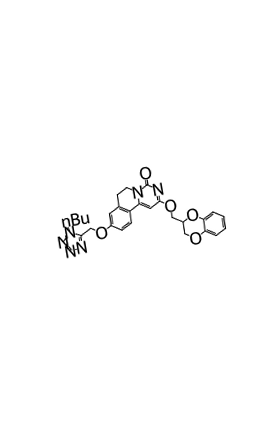 CCCCn1nnnc1COc1ccc2c(c1)CCn1c-2cc(OCC2COc3ccccc3O2)nc1=O